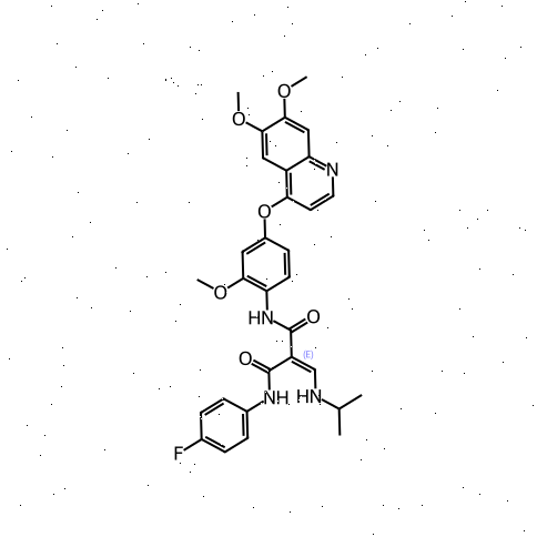 COc1cc(Oc2ccnc3cc(OC)c(OC)cc23)ccc1NC(=O)/C(=C/NC(C)C)C(=O)Nc1ccc(F)cc1